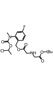 CC(Cl)OC(=O)N(C)c1cc(F)ccc1COC(=O)CNCC(=O)OC(C)(C)C